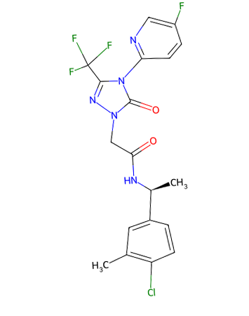 Cc1cc([C@H](C)NC(=O)Cn2nc(C(F)(F)F)n(-c3ccc(F)cn3)c2=O)ccc1Cl